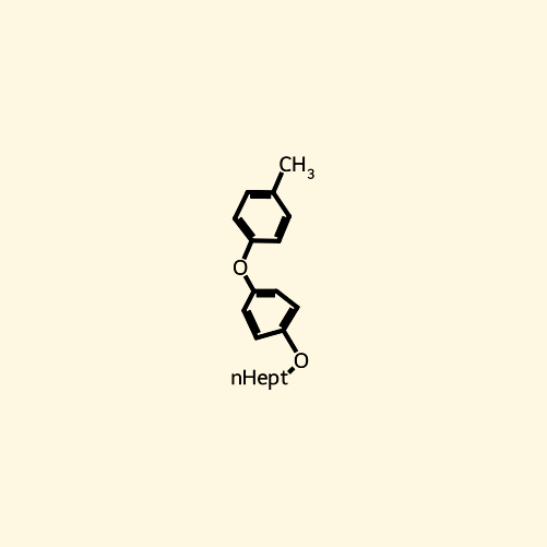 CCCCCCCOc1ccc(Oc2ccc(C)cc2)cc1